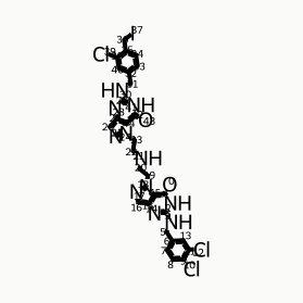 O=c1[nH]c(NCc2ccc(Cl)c(Cl)c2)nc2cnn(CCNCCn3ncc4nc(NCc5ccc(CI)c(Cl)c5)[nH]c(=O)c43)c12